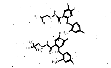 Cc1cc(I)ccc1Nc1cc(F)c(F)cc1C(=O)NOCC(C)(C)O.Cc1cc(I)ccc1Nc1cc(F)c(F)cc1C(=O)NOCC(C)O